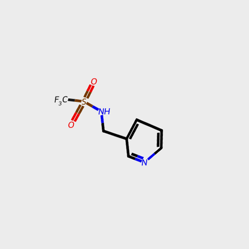 O=S(=O)(NCc1cccnc1)C(F)(F)F